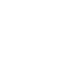 CCN(CC)[Si](C)(C)C(C)(C)[SiH](C)C